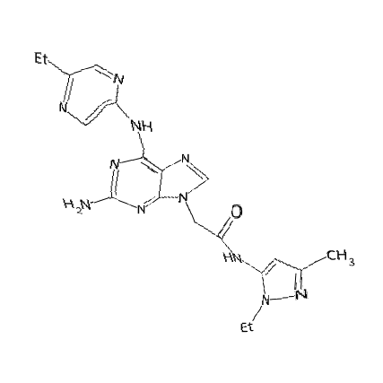 CCc1cnc(Nc2nc(N)nc3c2ncn3CC(=O)Nc2cc(C)nn2CC)cn1